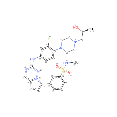 C[C@H](O)CN1CCN(c2ccc(Nc3ncc4ccc(-c5cccc(S(=O)(=O)NC(C)(C)C)c5)n4n3)cc2F)CC1